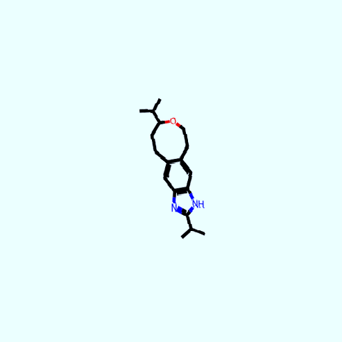 CC(C)c1nc2cc3c(cc2[nH]1)CCOC(C(C)C)CC3